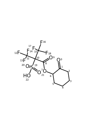 O=C1CCCCC1OC(=O)C(C(F)(F)F)(C(F)(F)F)S(=O)(=O)O